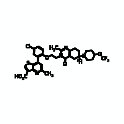 [2H]C1(N2CCC(OC(F)(F)F)CC2)CCc2nc(C)n(CCOc3ccc(Cl)cc3-c3cc(C)nc4c(C(=O)O)csc34)c(=O)c2C1